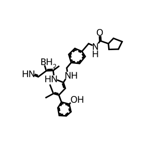 B/C(C=N)=C(\C)N/C(=C\C(=C(C)C)c1ccccc1O)NCc1ccc(CNC(=O)C2CCCC2)cc1